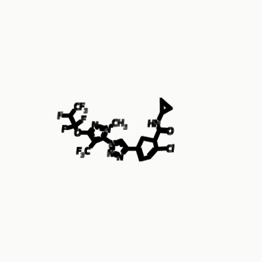 Cn1nc(OC(F)(F)C(F)C(F)(F)F)c(C(F)(F)F)c1-n1cc(C2=CC=C(Cl)C(C(=O)NC3CC3)C2)nn1